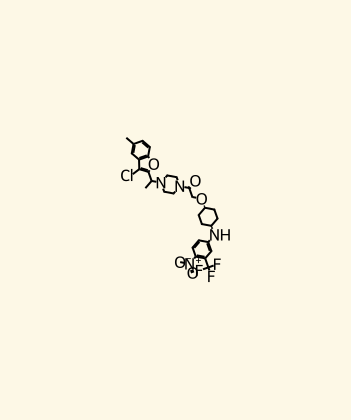 Cc1ccc2oc(C(C)N3CCN(C(=O)CO[C@H]4CC[C@H](Nc5ccc([N+](=O)[O-])c(C(F)(F)F)c5)CC4)CC3)c(Cl)c2c1